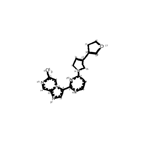 FC(F)(F)c1cn2c(-c3nccc(N4CCC(C5CCOC5)C4)n3)cnc2cn1